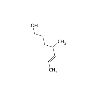 CC=CC(C)CCCO